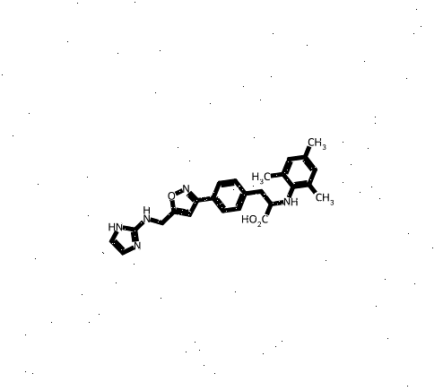 Cc1cc(C)c(NC(Cc2ccc(-c3cc(CNc4ncc[nH]4)on3)cc2)C(=O)O)c(C)c1